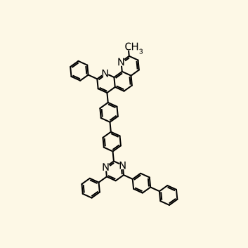 Cc1ccc2ccc3c(-c4ccc(-c5ccc(-c6nc(-c7ccccc7)cc(-c7ccc(-c8ccccc8)cc7)n6)cc5)cc4)cc(-c4ccccc4)nc3c2n1